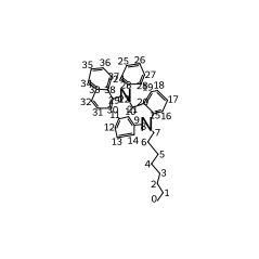 CCCCCCCCN(c1ccccc1)c1ccccc1CN(c1ccccc1)c1cccc2ccccc12